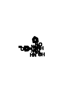 CCOc1ccc(-c2nc(C(=N)NO)c3[nH]c(=O)n(-c4ccccc4)c3n2)cc1